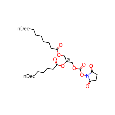 CCCCCCCCCCCCCCCCC(=O)OC[C@@H](COC(=O)ON1C(=O)CCC1=O)OC(=O)CCCCCCCCCCCCCC